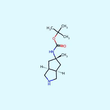 CC(C)(C)OC(=O)N[C@]1(C)C[C@H]2CNC[C@H]2C1